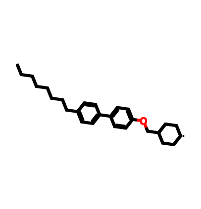 CCCCCCCCc1ccc(-c2ccc(OCC3CC[CH]CC3)cc2)cc1